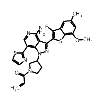 C=CC(=O)N1CCC(n2nc(-c3sc4c(OC)cc(C)cc4c3F)c3c(N)ncc(-c4nccs4)c32)C1